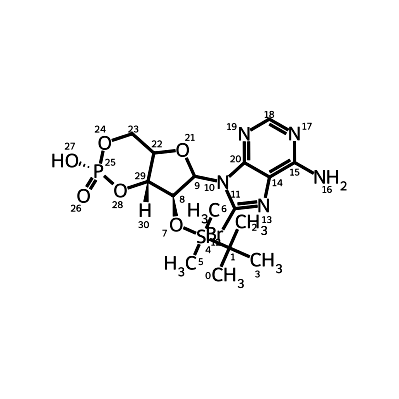 CC(C)(C)[Si](C)(C)O[C@@H]1C(n2c(Br)nc3c(N)ncnc32)OC2CO[P@@](=O)(O)O[C@H]21